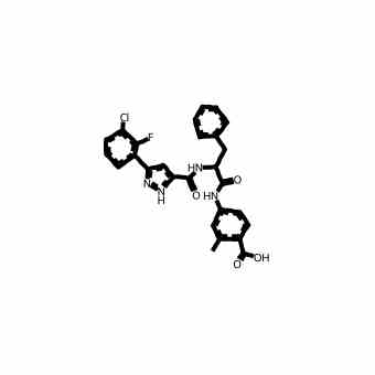 Cc1cc(NC(=O)C(Cc2ccccc2)NC(=O)c2cc(-c3cccc(Cl)c3F)n[nH]2)ccc1C(=O)O